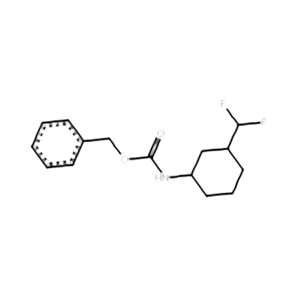 O=C(NC1CCCC(C(F)F)C1)OCc1ccccc1